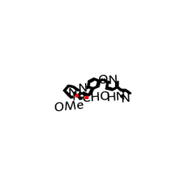 COC(C=O)N1CC2CCC(C1)N2Cc1ccc2cc(Oc3ccc(-c4ccn[nH]4)cn3)ccc2n1